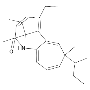 CCC1=C(/C(C)(C=O)CC)C2=CC(C)(C(C)CC)C=CC=C2NC(C)/C=C\1